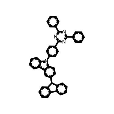 c1ccc(-c2nc(-c3ccccc3)nc(-c3ccc(-n4c5ccccc5c5cc(C6c7ccccc7-c7ccccc76)ccc54)cc3)n2)cc1